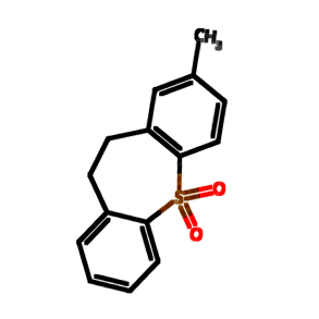 Cc1ccc2c(c1)CCc1ccccc1S2(=O)=O